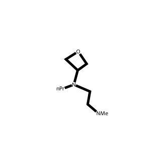 CCCN(CCNC)C1COC1